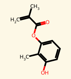 C=C(C)C(=O)Oc1cccc(O)c1C